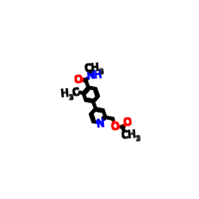 CNC(=O)c1ccc(-c2ccnc(COC(C)=O)c2)cc1C